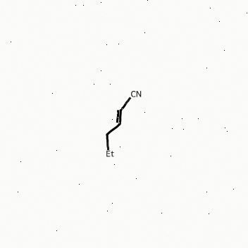 CCCC=CC#N